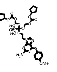 COc1ccc(Sc2nc(N)nc3c2ncn3CCOC(OCOC(=O)OC2CCCC2)(OCOC(=O)OC2CCCC2)P(=O)(O)O)cc1